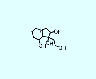 OCCC1(O)C(O)CN2CCCC(O)C21